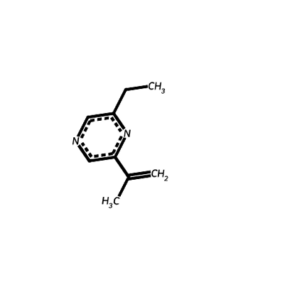 C=C(C)c1cncc(CC)n1